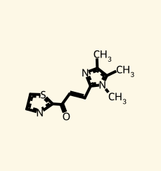 Cc1nc(C=CC(=O)c2nccs2)n(C)c1C